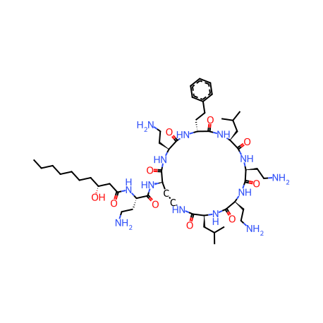 CCCCCCC[C@@H](O)CC(=O)N[C@@H](CCN)C(=O)N[C@@H]1CCNC(=O)[C@H](CC(C)C)NC(=O)[C@H](CCN)NC(=O)[C@H](CCN)NC(=O)[C@H](CC(C)C)NC(=O)[C@@H](CCc2ccccc2)NC(=O)[C@H](CCN)NC1=O